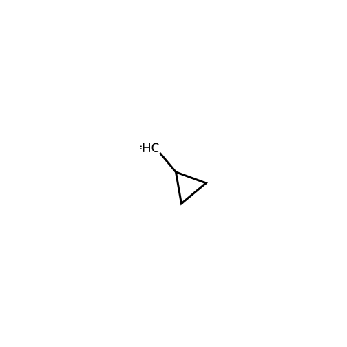 [CH]C1CC1